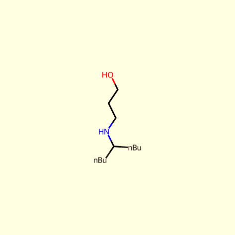 CCCCC(CCCC)NCCCO